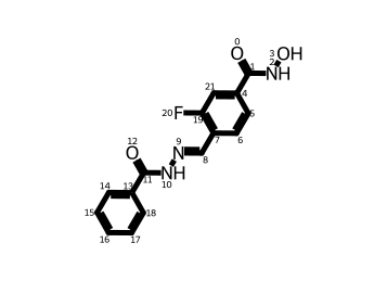 O=C(NO)c1ccc(C=NNC(=O)c2ccccc2)c(F)c1